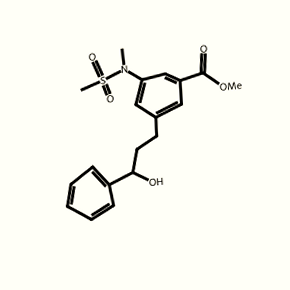 COC(=O)c1cc(CCC(O)c2ccccc2)cc(N(C)S(C)(=O)=O)c1